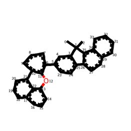 CC1(C)c2cc(-c3cccc4c3Oc3cccc5cccc-4c35)ccc2-c2ccc3ccccc3c21